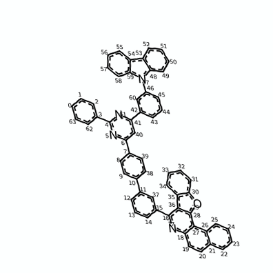 c1ccc(-c2nc(-c3ccc(-c4cccc(-c5nc6ccc7ccccc7c6c6oc7ccccc7c56)c4)cc3)cc(-c3cccc(-n4c5ccccc5c5ccccc54)c3)n2)cc1